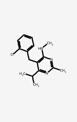 CNc1nc(C)nc(C(C)C)c1Cc1ccccc1Cl